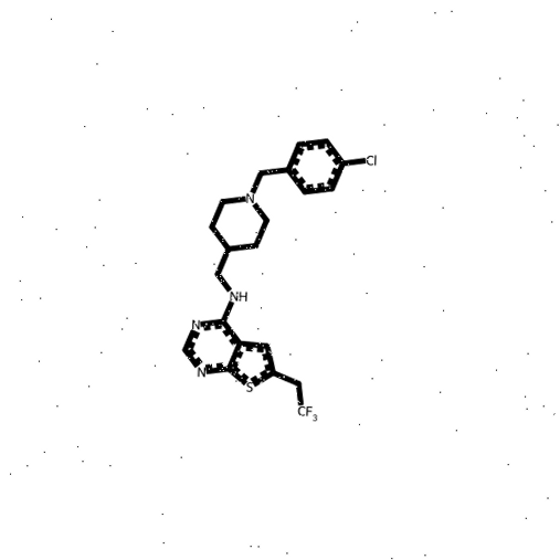 FC(F)(F)Cc1cc2c(NCC3CCN(Cc4ccc(Cl)cc4)CC3)ncnc2s1